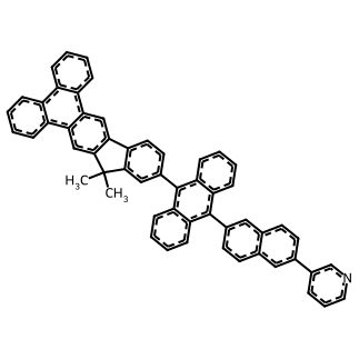 CC1(C)c2cc(-c3c4ccccc4c(-c4ccc5cc(-c6cccnc6)ccc5c4)c4ccccc34)ccc2-c2cc3c4ccccc4c4ccccc4c3cc21